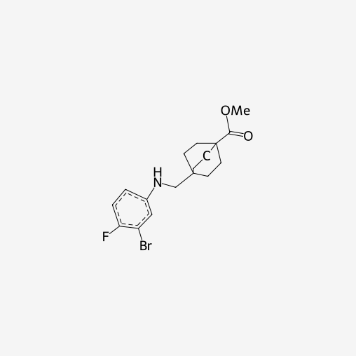 COC(=O)C12CCC(CNc3ccc(F)c(Br)c3)(CC1)CC2